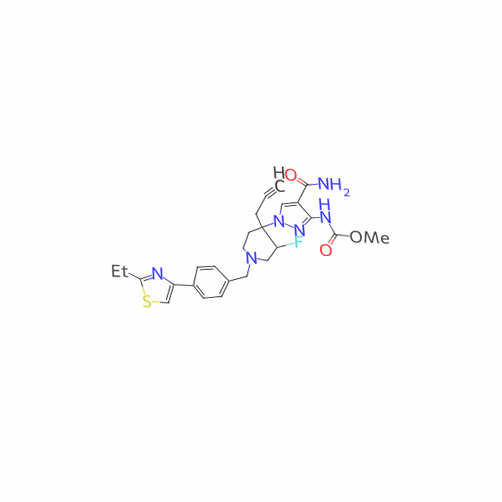 C#CCC1(n2cc(C(N)=O)c(NC(=O)OC)n2)CCN(Cc2ccc(-c3csc(CC)n3)cc2)CC1F